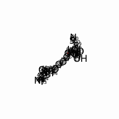 Cc1ncsc1-c1ccc(CNC(=O)[C@@H]2C[C@@H](O)CN2C(=O)[C@@H](NC(=O)COCCOCCOCCOc2ccc(N3C(=S)N(c4ccc(C#N)c(C(F)(F)F)c4)C(=O)C3(C)C)cc2F)C(C)(C)C)cc1